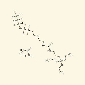 CCO[Si](CCCNC(=O)NCCSCCC(F)(F)C(F)(F)OC(F)(F)C(F)(F)C(F)(F)F)(OCC)OCC.F[SiH3].NC(N)=O